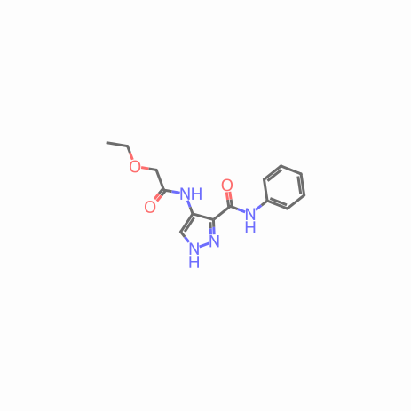 CCOCC(=O)Nc1c[nH]nc1C(=O)Nc1ccccc1